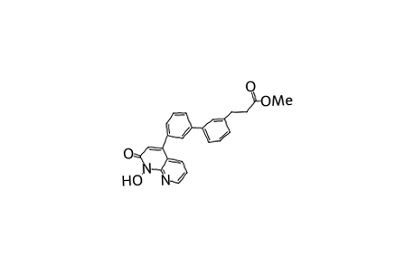 COC(=O)CCc1cccc(-c2cccc(-c3cc(=O)n(O)c4ncccc34)c2)c1